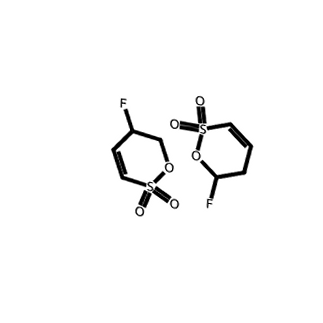 O=S1(=O)C=CC(F)CO1.O=S1(=O)C=CCC(F)O1